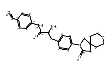 NC(Cc1ccc(N2CC3(CCOCC3)CC2=O)cc1)C(=O)Nc1ccc(C=O)cc1